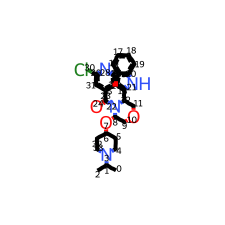 CC(C)N1CCC(OC2COCC(c3cc4ccccc4[nH]3)N2C(=O)c2ccnc(Cl)c2)CC1